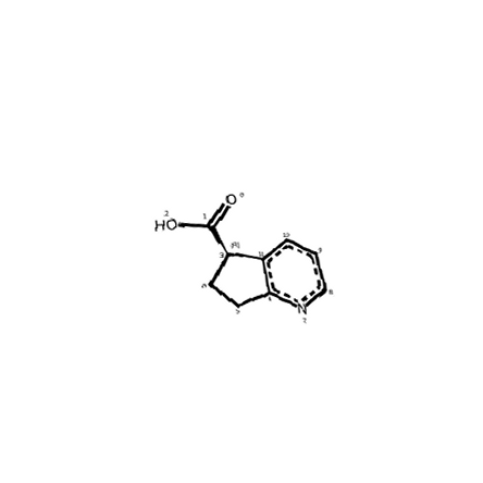 O=C(O)[C@@H]1CCc2ncccc21